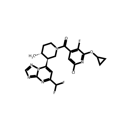 C[C@@H]1CCN(C(=O)c2cc(Cl)nc(OC3CC3)c2F)C[C@H]1c1cc(C(F)F)nc2ncnn12